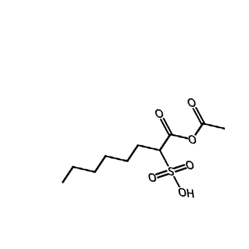 CCCCCCC(C(=O)OC(C)=O)S(=O)(=O)O